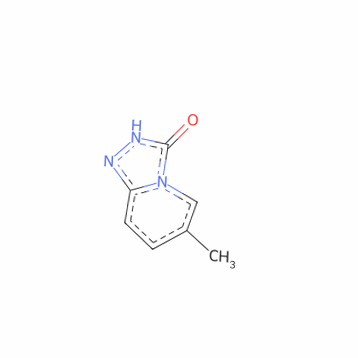 Cc1ccc2n[nH]c(=O)n2c1